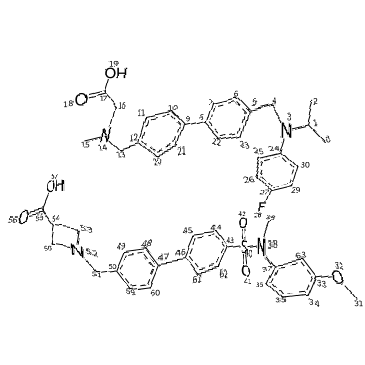 CC(C)N(Cc1ccc(-c2ccc(CN(C)CC(=O)O)cc2)cc1)c1ccc(F)cc1.COc1cccc(N(C)S(=O)(=O)c2ccc(-c3ccc(CN4CC(C(=O)O)C4)cc3)cc2)c1